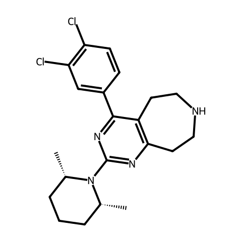 C[C@@H]1CCC[C@H](C)N1c1nc2c(c(-c3ccc(Cl)c(Cl)c3)n1)CCNCC2